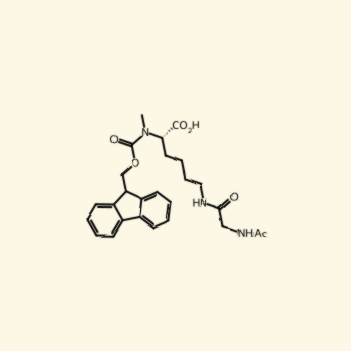 CC(=O)NCC(=O)NCCCC[C@@H](C(=O)O)N(C)C(=O)OCC1c2ccccc2-c2ccccc21